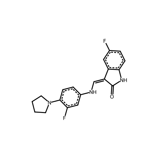 O=C1Nc2ccc(F)cc2C1=CNc1ccc(N2CCCC2)c(F)c1